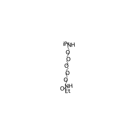 CCC(=O)NCCOCCOCCOCCOCCOCCNC(C)C